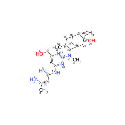 C/C(N)=C/C(=N)Nc1cc(CO)nc(N(C)C2C(C)CC3CC2CC(C)(O)C3)n1